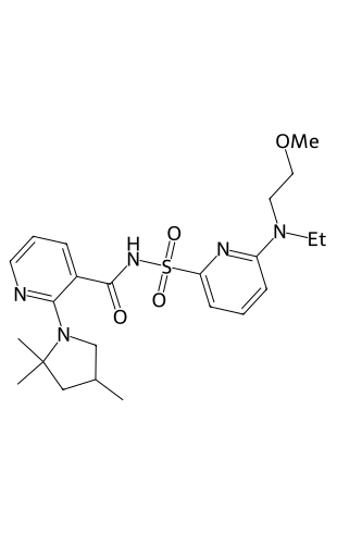 CCN(CCOC)c1cccc(S(=O)(=O)NC(=O)c2cccnc2N2CC(C)CC2(C)C)n1